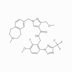 COCc1nn(Cc2ccc3c(c2)CCN(C)CC3)cc1C(=O)NCc1c(-n2cnc(C(F)(F)F)n2)ccc(OC)c1F